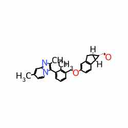 Cc1ccn2c(-c3cccc(COc4ccc5c(c4)C[C@H]4[C@H](C=O)[C@@H]54)c3C)c(C)nc2c1